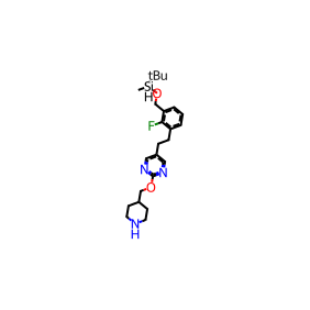 C[SiH](OCc1cccc(CCc2cnc(OCC3CCNCC3)nc2)c1F)C(C)(C)C